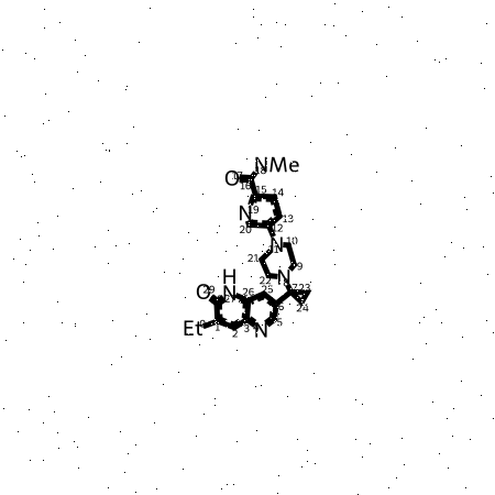 CCc1cc2ncc(C3(N4CCN(c5ccc(C(=O)NC)nc5)CC4)CC3)cc2[nH]c1=O